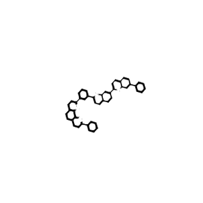 C1=CC2=CC=C(c3cccc(-c4ccc5ccc6ccc(-c7ccccc7)nc6c5n4)c3)NC2C=C1C1=CC=C2C=CC(c3ccccc3)=CC2N1